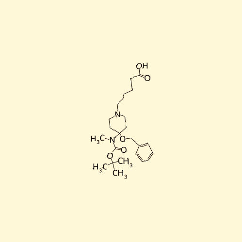 CN(C(=O)OC(C)(C)C)C1(OCc2ccccc2)CCN(CCCCCC(=O)O)CC1